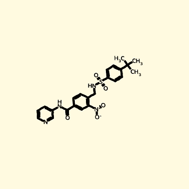 CC(C)(C)c1ccc(S(=O)(=O)NCc2ccc(C(=O)Nc3cccnc3)cc2[N+](=O)[O-])cc1